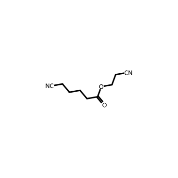 N#CCCCCC(=O)OCCC#N